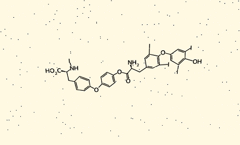 N[C@@H](Cc1cc(I)c(Oc2cc(I)c(O)c(I)c2)c(I)c1)C(=O)Oc1ccc(Oc2ccc(C[C@H](NI)C(=O)O)cc2)cc1